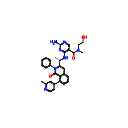 Cc1cc(-c2cccc3cc([C@H](C)Nc4nc(N)ncc4C(=O)N(C)CCO)n(-c4ccccc4)c(=O)c23)ccn1